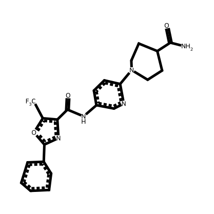 NC(=O)C1CCN(c2ccc(NC(=O)c3nc(-c4ccccc4)oc3C(F)(F)F)cn2)CC1